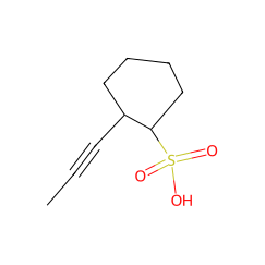 CC#CC1CCCCC1S(=O)(=O)O